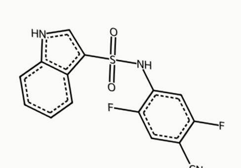 N#Cc1cc(F)c(NS(=O)(=O)c2c[nH]c3ccccc23)cc1F